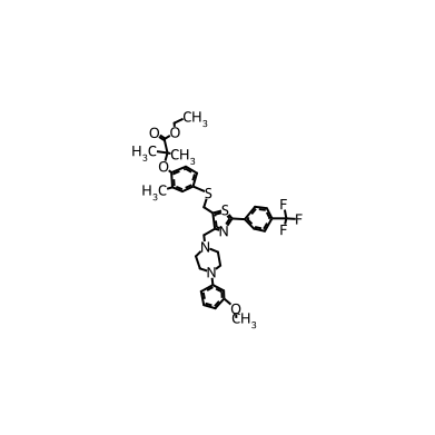 CCOC(=O)C(C)(C)Oc1ccc(SCc2sc(-c3ccc(C(F)(F)F)cc3)nc2CN2CCN(c3cccc(OC)c3)CC2)cc1C